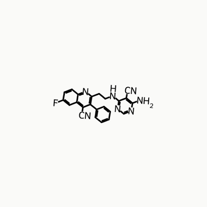 N#Cc1c(N)ncnc1NCCc1nc2ccc(F)cc2c(C#N)c1-c1ccccc1